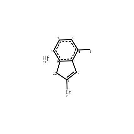 CCC1=Cc2c(C)cccc2[CH]1.[Hf]